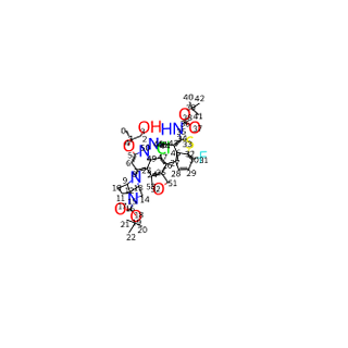 C[C@@H](CO)Oc1cc(N2C3CCC34C2CN4C(=O)OC(C)(C)C)c2c3c(c(-c4ccc(F)c5sc(NC(=O)OC(C)(C)C)c(C#N)c45)c(Cl)c2n1)COC3